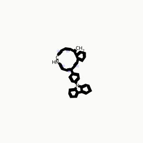 C=C1/C=C\C=C/CN/C=C/C=C(c2ccc(-n3c4ccccc4c4ccccc43)cc2)\C=C/c2ccccc21